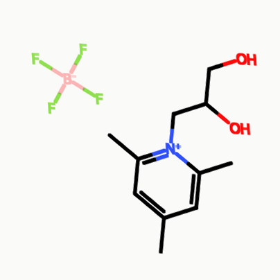 Cc1cc(C)[n+](CC(O)CO)c(C)c1.F[B-](F)(F)F